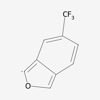 FC(F)(F)c1ccc2co[c]c2c1